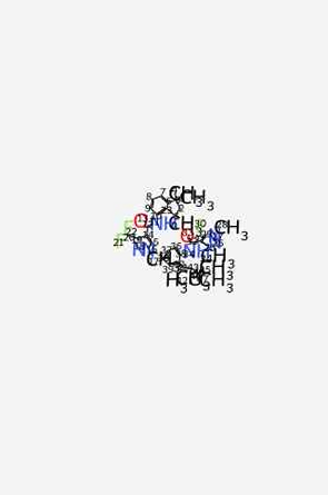 CC1CC(C)(C)c2cccc(NC(=O)c3cn(C)nc3C(F)F)c21.Cc1nn(C)c(F)c1C(=O)Nc1ccccc1C(C)CC(C)(C)C